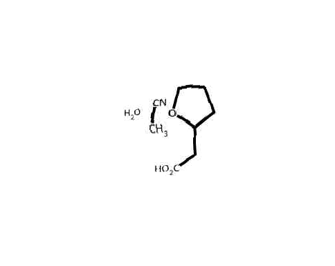 CC#N.O.O=C(O)CC1CCCO1